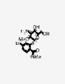 CNC(=O)c1ccc(Br)cc1SC1OC(CO)C(O)C(N)C1OC